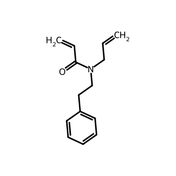 C=CCN(CCc1ccccc1)C(=O)C=C